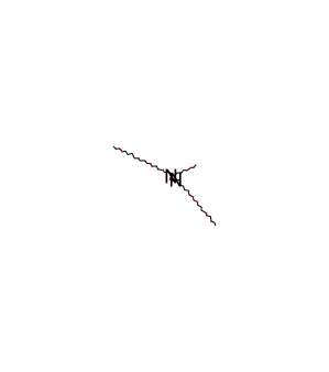 CCCCCCCCCCCCCCCCCCCN1C=CN(CCCCCCCCCCCCCCCCCC)C1CCCCCCC